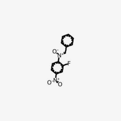 O=[N+]([O-])c1ccc([N+]([O-])=Cc2ccccc2)c(F)c1